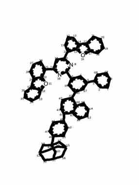 c1ccc(-c2cc(-c3nc(-c4cccc5c4oc4ccccc45)cc(-c4cccc5c4oc4ccccc45)n3)cc(-c3ccc(-c4ccc(C56CC7CC(CC(C7)C5)C6)cc4)c4ccccc34)c2)cc1